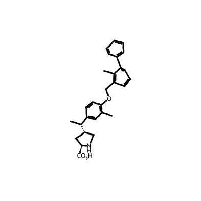 Cc1cc(C(C)[C@@H]2CN[C@@H](C(=O)O)C2)ccc1OCc1cccc(-c2ccccc2)c1C